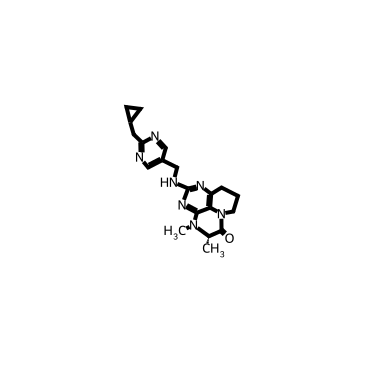 C[C@H]1C(=O)N2CCCc3nc(NCc4cnc(CC5CC5)nc4)nc(c32)N1C